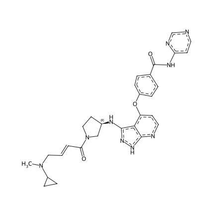 CN(CC=CC(=O)N1CC[C@@H](Nc2n[nH]c3nccc(Oc4ccc(C(=O)Nc5ccncn5)cc4)c23)C1)C1CC1